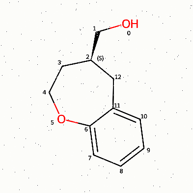 OC[C@@H]1CCOc2ccccc2C1